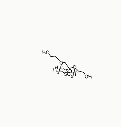 CS(=O)(=O)O.CS(=O)(=O)O.OCCOCCOCCO